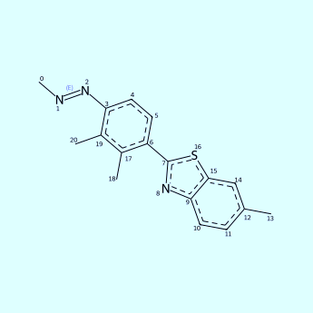 C/N=N/c1ccc(-c2nc3ccc(C)cc3s2)c(C)c1C